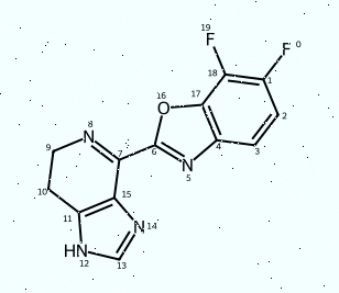 Fc1ccc2nc(C3=NCCc4[nH]cnc43)oc2c1F